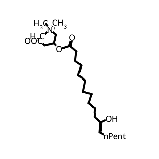 CCCCCC=C(O)CCCCCCCCCCC(=O)OC(CC(=O)[O-])C[N+](C)(C)C